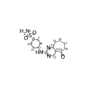 NS(=O)(=O)c1ccc(Nc2ncc3c(n2)CCCCC3=O)cc1